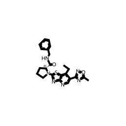 CCc1c(-c2noc(C)n2)cnc2nc(N3CCC[C@@H]3C(=O)NCc3ccccc3)sc12